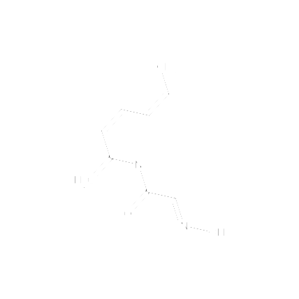 C=C(/C=C\C=C/C)NC(=O)/C=N/O